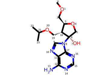 COC[C@H]1OC[C@@](O)(n2cnc3c(N)ncnc32)[C@@H]1COC(C)C